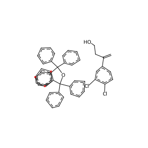 C=C(CCO)c1ccc(Cl)c(Cl)c1.c1ccc(C(OC(c2ccccc2)(c2ccccc2)c2ccccc2)(c2ccccc2)c2ccccc2)cc1